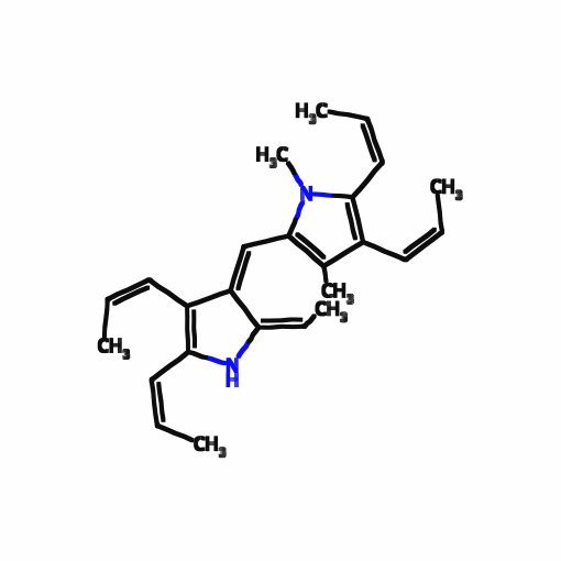 C/C=C\c1[nH]c(=C/C)/c(=C\c2c(C)c(/C=C\C)c(/C=C\C)n2C)c1/C=C\C